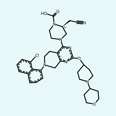 N#CC[C@H]1CN(c2nc(OC3CCN(C4CCOCC4)CC3)nc3c2CCN(c2cccc4cccc(Cl)c24)C3)CCN1C(=O)O